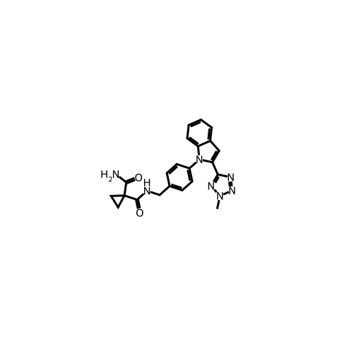 Cn1nnc(-c2cc3ccccc3n2-c2ccc(CNC(=O)C3(C(N)=O)CC3)cc2)n1